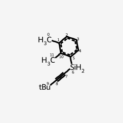 Cc1cccc([SiH2]C#CC(C)(C)C)c1C